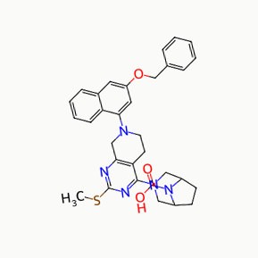 CSc1nc2c(c(N3CC4CCC(C3)N4C(=O)O)n1)CCN(c1cc(OCc3ccccc3)cc3ccccc13)C2